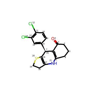 O=C1CCCC2=C1[C@H](c1ccc(Cl)c(Cl)c1)C1=C(CCS1)N2